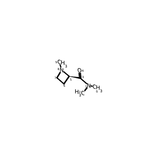 CN(C)C(=O)[C@H]1CCN1C